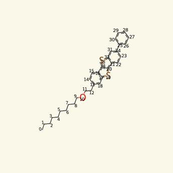 CCCCCCCCCCOCCc1ccc2c(c1)sc1c3ccc(-c4ccccc4)cc3sc21